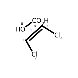 Cl/C=C\Cl.O=C(O)O